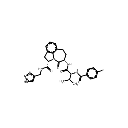 CC(C)[C@H](NC(=O)c1ccc(F)cc1)C(=O)N[C@H]1CCc2cccc3c2N(C1=O)[C@H](C(=O)NCc1c[nH]nn1)C3